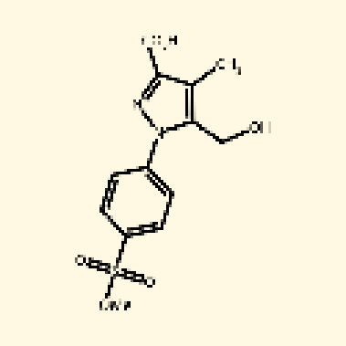 COS(=O)(=O)c1ccc(-n2nc(C(=O)O)c(C)c2CO)cc1